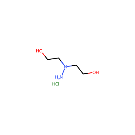 Cl.NN(CCO)CCO